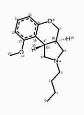 [CH2]CCCN1C[C@@H]2COc3cccc(OC)c3[C@H]2C1